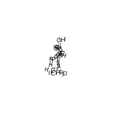 CC1(C)CCC(CN2CCN(c3ccc(C(=O)NS(=O)(=O)c4ccc(NC[C@H]5CC[C@@H](O)CC5)c([N+](=O)[O-])c4)c(Oc4ccc5[nH]ccc5c4)c3)CC2)=C(c2ccc(Cl)cc2)C1